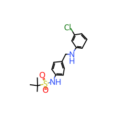 CC(C)(C)S(=O)(=O)Nc1ccc(CNc2cccc(Cl)c2)cc1